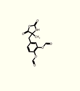 CC1(Cc2ccc(OC=O)c(OC=O)c2)NC(=O)OC1=O